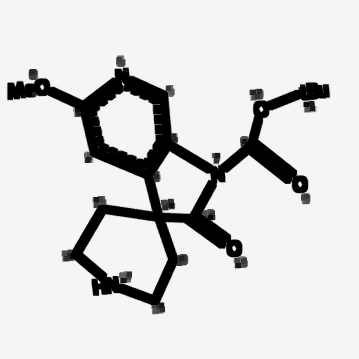 COc1cc2c(cn1)N(C(=O)OC(C)(C)C)C(=O)C21CCNCC1